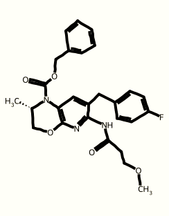 COCCC(=O)Nc1nc2c(cc1Cc1ccc(F)cc1)N(C(=O)OCc1ccccc1)[C@@H](C)CO2